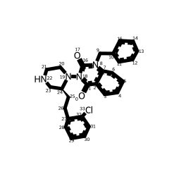 O=c1c2ccccc2n(Cc2ccccc2)c(=O)n1N1CCNC[C@@H]1CCc1ccccc1Cl